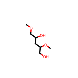 COCC(O)CC(CO)OC